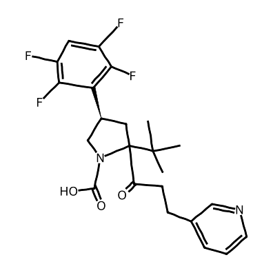 CC(C)(C)C1(C(=O)CCc2cccnc2)C[C@H](c2c(F)c(F)cc(F)c2F)CN1C(=O)O